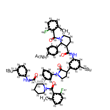 CC(=O)Nc1ccc(C2C(C(=O)Nc3cc(C4CCN(c5cccc([C@H]6[C@@H](C(=O)Nc7cccc(C(C)(C)C)c7)CCCN6C(=O)c6c(C)cccc6F)c5)C4=O)cc(C(C)(C)C)c3)CCCN2C(=O)c2c(C)cccc2F)cc1